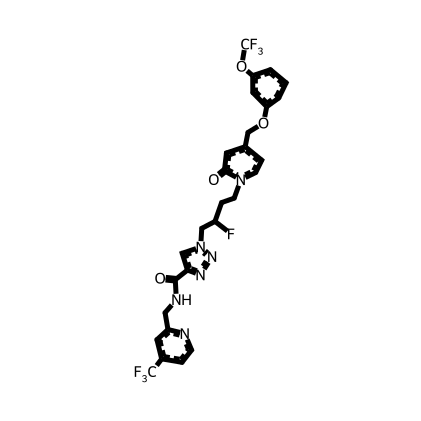 O=C(NCc1cc(C(F)(F)F)ccn1)c1cn(CC(F)CCn2ccc(COc3cccc(OC(F)(F)F)c3)cc2=O)nn1